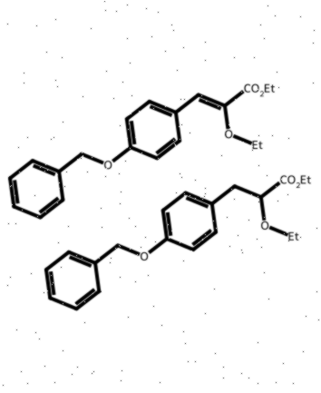 CCOC(=O)C(=Cc1ccc(OCc2ccccc2)cc1)OCC.CCOC(=O)C(Cc1ccc(OCc2ccccc2)cc1)OCC